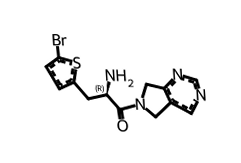 N[C@H](Cc1ccc(Br)s1)C(=O)N1Cc2cncnc2C1